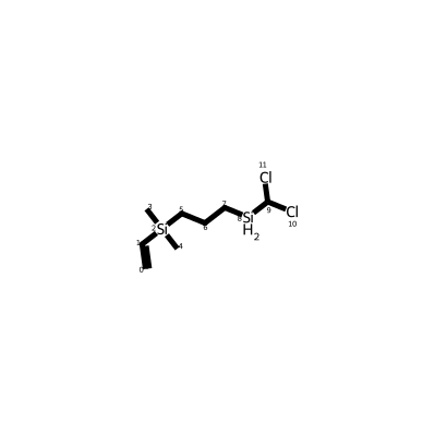 C=C[Si](C)(C)CCC[SiH2]C(Cl)Cl